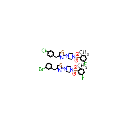 Cc1ccc(F)cc1S(=O)(=O)N1CCN(c2nc(Cc3ccc(Cl)cc3)cs2)CC1.Cc1ccc(F)cc1S(=O)(=O)N1CCN(c2nc(Cc3cccc(Br)c3)cs2)CC1